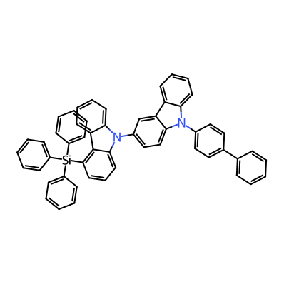 c1ccc(-c2ccc(-n3c4ccccc4c4cc(-n5c6ccccc6c6c([Si](c7ccccc7)(c7ccccc7)c7ccccc7)cccc65)ccc43)cc2)cc1